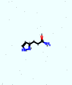 NC(=O)CCc1cc[nH]n1